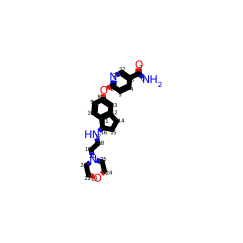 NC(=O)c1ccc(Oc2ccc3c(c2)CCC3NCCN2CCOCC2)nc1